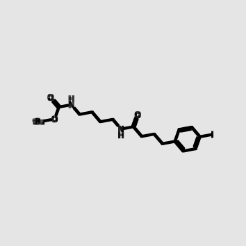 CC(C)(C)OC(=O)NCCCCNC(=O)CCCc1ccc(I)cc1